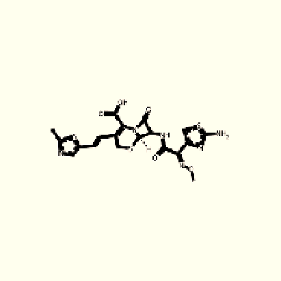 CO/N=C(/C(=O)NC1C(=O)N2C(C(=O)O)=C(/C=C/c3cnc(C)s3)CS[C@H]12)c1csc(N)n1